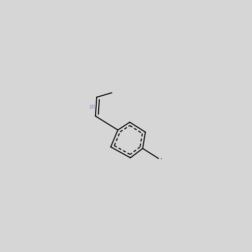 [CH2]c1ccc(/C=C\C)cc1